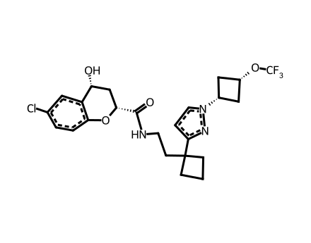 O=C(NCCC1(c2ccn([C@H]3C[C@@H](OC(F)(F)F)C3)n2)CCC1)[C@H]1C[C@@H](O)c2cc(Cl)ccc2O1